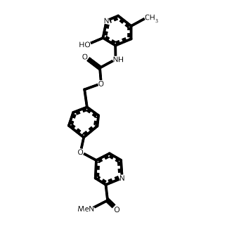 CNC(=O)c1cc(Oc2ccc(COC(=O)Nc3cc(C)cnc3O)cc2)ccn1